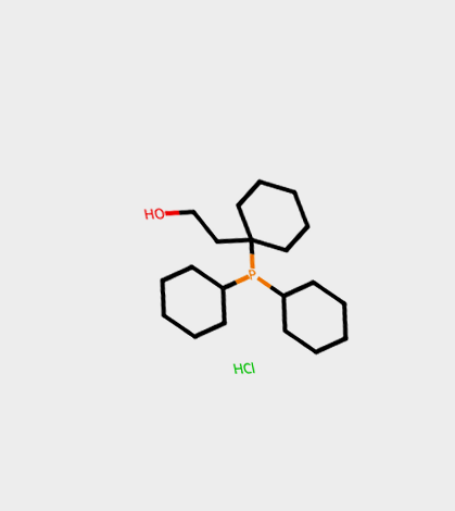 Cl.OCCC1(P(C2CCCCC2)C2CCCCC2)CCCCC1